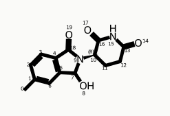 Cc1ccc2c(c1)C(O)N([C@@H]1CCC(=O)NC1=O)C2=O